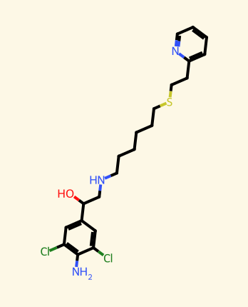 Nc1c(Cl)cc(C(O)CNCCCCCCSCCc2ccccn2)cc1Cl